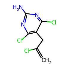 C=C(Cl)Cc1c(Cl)nc(N)nc1Cl